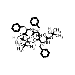 CC(C)(C)OC(=O)N[C@@H](Cc1ccccc1)C(=O)N[C@@H](Cc1ccccc1)C(=O)N[C@@H](Cc1ccccc1)C(=O)O[Si](C)(C(C)(C)C)C(C)(C)C